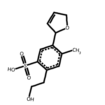 Cc1cc(CCO)c(S(=O)(=O)O)cc1C1C=CCO1